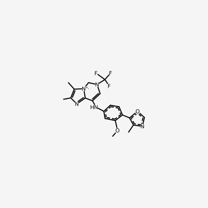 COc1cc(NC2=CN(C(F)(F)F)C[N+]3C2=NC(C)=C3C)ccc1-c1ocnc1C